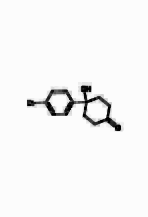 CCc1ccc(C2(O)CCC(=O)CC2)cc1